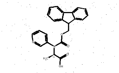 C[C@H](C(=O)O)N(C(=O)OCC1c2ccccc2-c2ccccc21)c1cccnc1